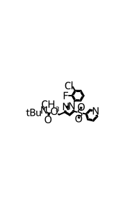 CN(C(=O)OCc1cc(S(=O)(=O)c2cccnc2)n(-c2cccc(Cl)c2F)n1)C(C)(C)C